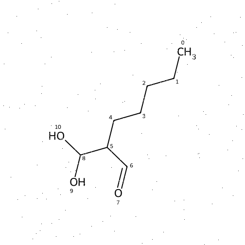 CCCCCC(C=O)C(O)O